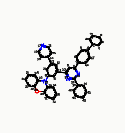 c1ccc(-c2ccc(-c3cc(-c4cc(-c5ccncc5)cc(N5c6ccccc6Oc6ccccc65)c4)nc(-c4ccccc4)n3)cc2)cc1